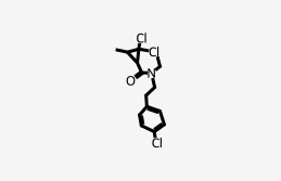 CCN(CCc1ccc(Cl)cc1)C(=O)C1C(C)C1(Cl)Cl